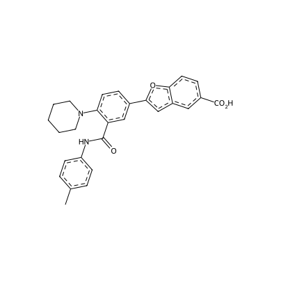 Cc1ccc(NC(=O)c2cc(-c3cc4cc(C(=O)O)ccc4o3)ccc2N2CCCCC2)cc1